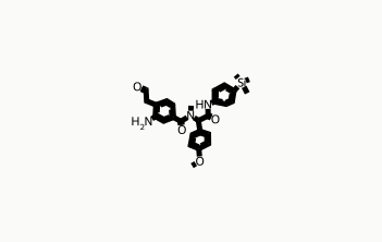 COc1ccc(C(C(=O)Nc2ccc([Si](C)(C)C)cc2)N(C)C(=O)c2ccc(CC=O)c(N)c2)cc1